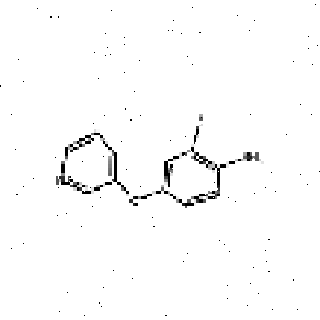 Bc1ccc(Oc2cccnc2)cc1F